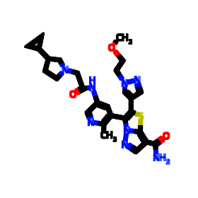 COCCn1cc(-c2sc3c(C(N)=O)cnn3c2-c2cc(NC(=O)CN3CCC(C4CC4)C3)cnc2C)cn1